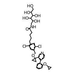 O=C(CCCCc1cc(Cl)c(COC2(c3cnccc3-c3ccccc3OC3CC3)CC2)cc1Cl)NCC(O)C(O)C(O)C(O)CO